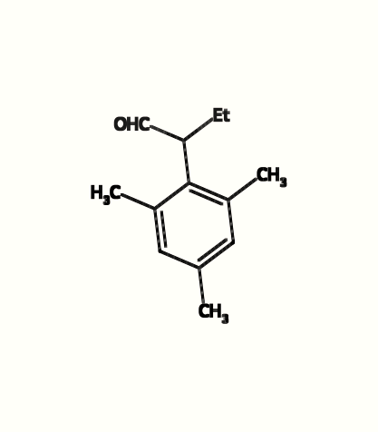 CCC(C=O)c1c(C)cc(C)cc1C